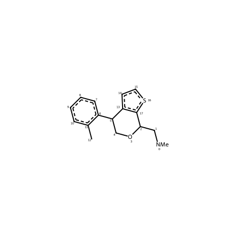 CNCC1OCC(c2ccccc2C)c2ccsc21